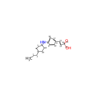 CCCC1CCC(Nc2ccc(C=CC(=O)O)cc2)CC1